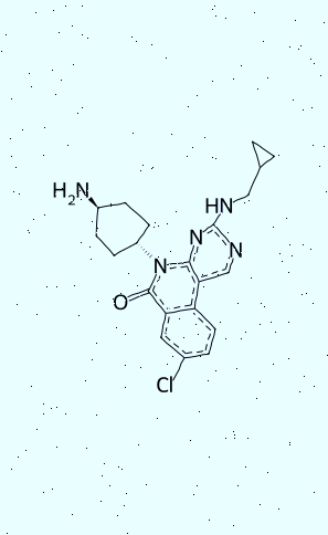 N[C@H]1CC[C@H](n2c(=O)c3cc(Cl)ccc3c3cnc(NCC4CC4)nc32)CC1